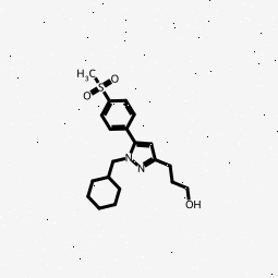 CS(=O)(=O)c1ccc(-c2cc(CCCO)nn2CC2CCCCC2)cc1